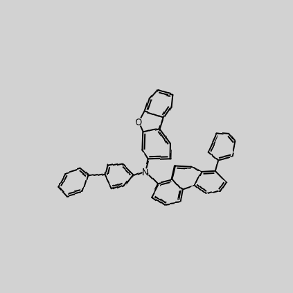 c1ccc(-c2ccc(N(c3ccc4c(c3)oc3ccccc34)c3cccc4c3ccc3c(-c5ccccc5)cccc34)cc2)cc1